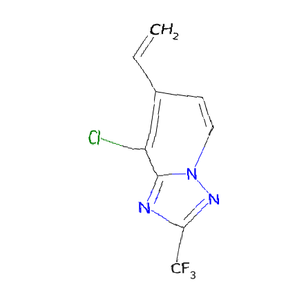 C=Cc1ccn2nc(C(F)(F)F)nc2c1Cl